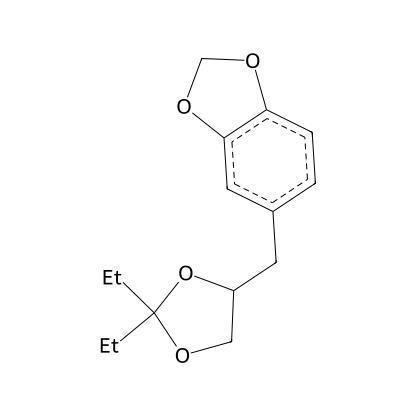 CCC1(CC)OCC(Cc2ccc3c(c2)OCO3)O1